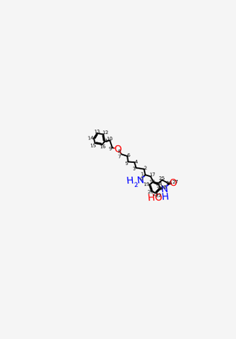 NC(CCCCCCOCCc1ccccc1)Cc1ccc(O)c2c1CC(=O)N2